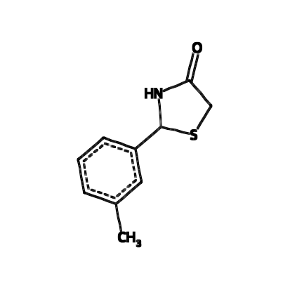 Cc1cccc(C2NC(=O)CS2)c1